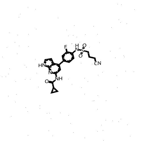 N#CCCCS(=O)(=O)Nc1ccc(-c2cc(NC(=O)C3CC3)nc3[nH]ccc23)cc1F